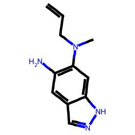 C=CCN(C)c1cc2[nH]ncc2cc1N